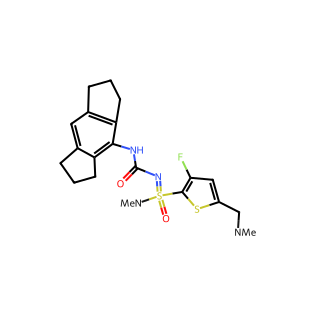 CNCc1cc(F)c(S(=O)(=NC(=O)Nc2c3c(cc4c2CCC4)CCC3)NC)s1